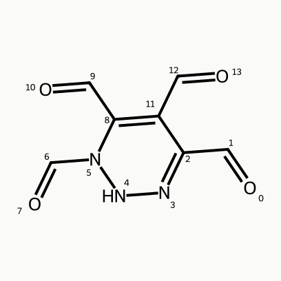 O=CC1=NNN(C=O)C(C=O)=C1C=O